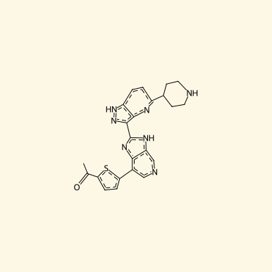 CC(=O)c1ccc(-c2cncc3[nH]c(-c4n[nH]c5ccc(C6CCNCC6)nc45)nc23)s1